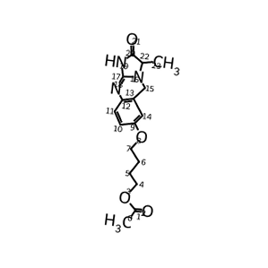 CC(=O)OCCCCOc1ccc2c(c1)CN1C(=N2)NC(=O)C1C